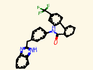 O=C(Nc1ccc(Cc2nc3ccccc3[nH]2)cc1)c1ccccc1-c1ccc(C(F)(F)F)cc1